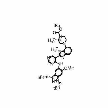 CCCCCc1nn(OC(C)(C)C)c2cc(OC)c(Nc3ncncc3-c3nc4cccc(N5CCN(C(=O)OC(C)(C)C)[C@@H](C)C5)c4n3C)cc12